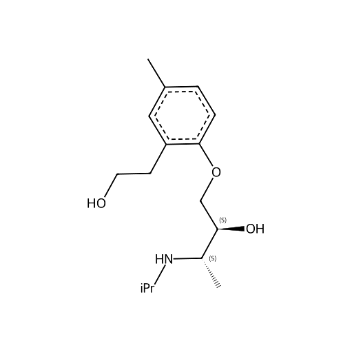 Cc1ccc(OC[C@@H](O)[C@H](C)NC(C)C)c(CCO)c1